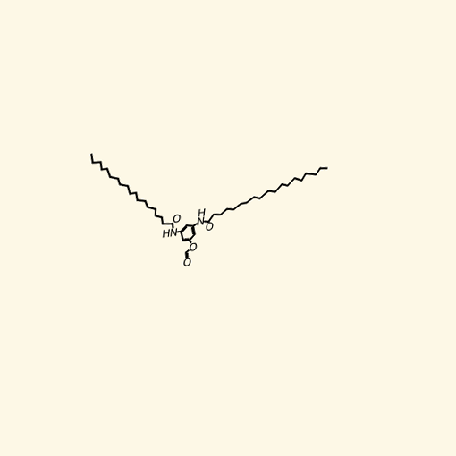 CCCCCCCCCCCCCCCCCCC(=O)Nc1cc(NC(=O)CCCCCCCCCCCCCCCCCC)cc(OC=O)c1